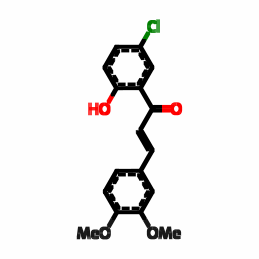 COc1ccc(/C=C/C(=O)c2cc(Cl)ccc2O)cc1OC